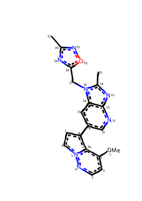 COc1ccnn2ccc(-c3cnc4nc(C)n(Cc5nc(C)no5)c4c3)c12